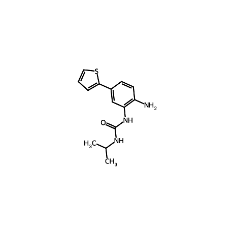 CC(C)NC(=O)Nc1cc(-c2cccs2)ccc1N